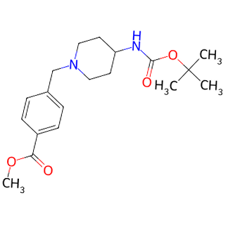 COC(=O)c1ccc(CN2CCC(NC(=O)OC(C)(C)C)CC2)cc1